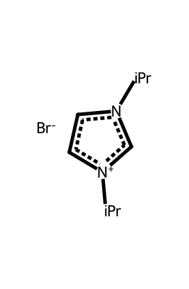 CC(C)n1cc[n+](C(C)C)c1.[Br-]